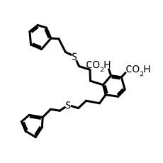 O=C(O)c1ccc(CCCSCCc2ccccc2)c(CCCSCCc2ccccc2)c1C(=O)O